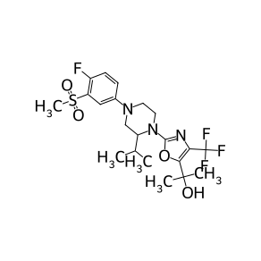 CC(C)C1CN(c2ccc(F)c(S(C)(=O)=O)c2)CCN1c1nc(C(F)(F)F)c(C(C)(C)O)o1